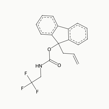 C=CCC1(OC(=O)NCC(F)(F)F)c2ccccc2-c2ccccc21